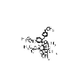 CCc1ccc(Cc2ccc(OCOC)cc2O[C@H]2S[C@@H](COC(C)=O)[C@@H](OC(C)=O)[C@H](OC(C)=O)[C@H]2OC(C)=O)cc1